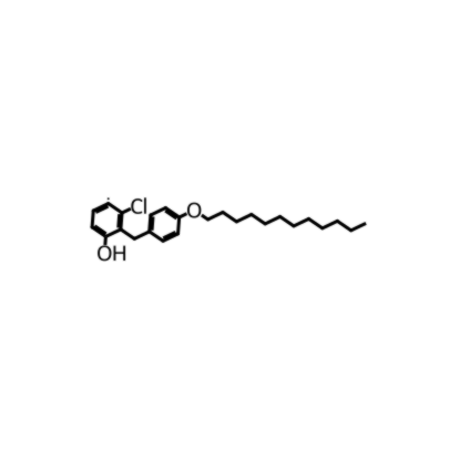 CCCCCCCCCCCCOc1ccc(Cc2c(Cl)[c]ccc2O)cc1